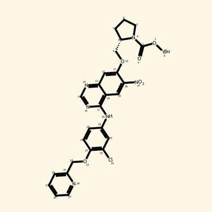 CC(C)(C)OC(=O)N1CCC[C@H]1COc1cc2ncnc(Nc3ccc(OCc4ccccn4)c(Cl)c3)c2cc1[N+](=O)[O-]